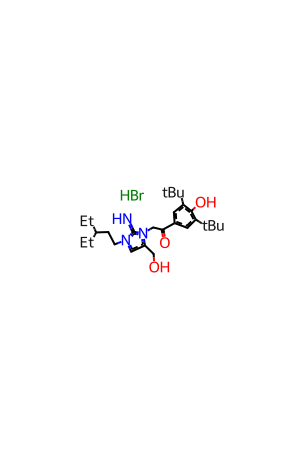 Br.CCC(CC)CCn1cc(CO)n(CC(=O)c2cc(C(C)(C)C)c(O)c(C(C)(C)C)c2)c1=N